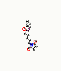 C/C=P\C(=O)CCCCCN1C(=O)C=CC1=O